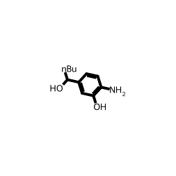 CCCCC(O)c1ccc(N)c(O)c1